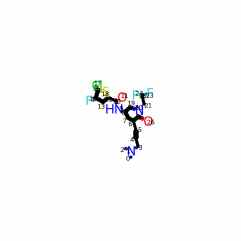 CN(C)CC#Cc1cc(NC(=O)c2cc(F)c(Cl)s2)cn(CC(F)F)c1=O